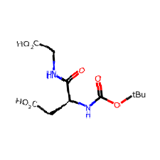 CC(C)(C)OC(=O)N[C@@H](CC(=O)O)C(=O)NCC(=O)O